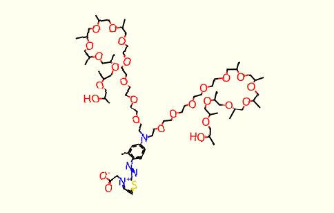 Cc1cc(N(CCOCCOCCOCCOCCOCC(C)OCC(C)OCC(C)OCC(C)OCC(C)OCC(C)OCC(C)O)CCOCCOCCOCCOCCOCC(C)OCC(C)OCC(C)OCC(C)OCC(C)OCC(C)OCC(C)O)ccc1/N=N/c1scc[n+]1CC(=O)[O-]